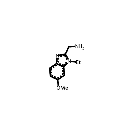 CCn1c(CN)nc2ccc(OC)cc21